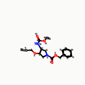 COCOC1CN(C(=O)OCc2ccccc2)CC1NC(=O)OC(C)(C)C